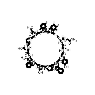 CCCC[C@H]1C(=O)N2CCC[C@@H]2C(=O)N[C@@H](CC(=O)O)C(=O)N[C@@H](C(C)C)C(=O)N(C)[C@@H](Cc2ccccc2)C(=O)N[C@@H](CC(=O)O)C(=O)N2CCCC[C@@H]2C(=O)N[C@@H](Cc2c[nH]c3ccccc23)C(=O)N[C@@H](Cc2ccc(O)cc2)C(=O)N[C@@H](CO)C(=O)N[C@H](C(=O)NCC(N)=O)CSCC(=O)N[C@@H](Cc2cc(F)c(F)c(F)c2)C(=O)N(C)[C@@H](Cc2ccc(F)cc2)C(=O)N1C